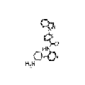 N[C@@H]1CCCN(c2ccncc2NC(=O)c2ccc(-n3ncc4ccccc43)s2)C1